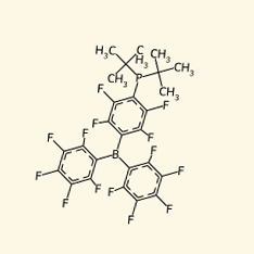 CC(C)(C)P(c1c(F)c(F)c(B(c2c(F)c(F)c(F)c(F)c2F)c2c(F)c(F)c(F)c(F)c2F)c(F)c1F)C(C)(C)C